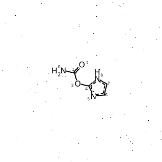 NC(=O)Oc1ncc[nH]1